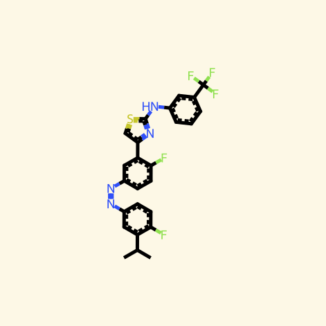 CC(C)c1cc(/N=N\c2ccc(F)c(-c3csc(Nc4cccc(C(F)(F)F)c4)n3)c2)ccc1F